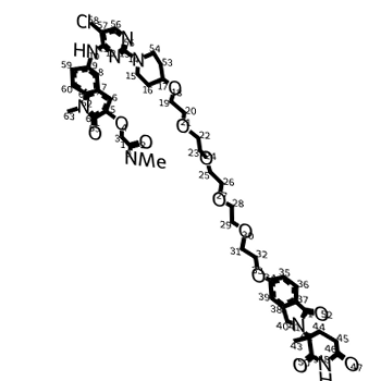 CNC(=O)COc1cc2cc(Nc3nc(N4CCC(OCCOCCOCCOCCOCCOc5ccc6c(c5)CN(C5(C)CCC(=O)NC5=O)C6=O)CC4)ncc3Cl)ccc2n(C)c1=O